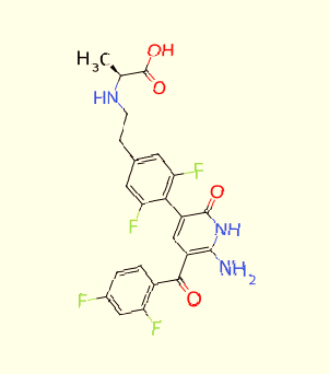 C[C@H](NCCc1cc(F)c(-c2cc(C(=O)c3ccc(F)cc3F)c(N)[nH]c2=O)c(F)c1)C(=O)O